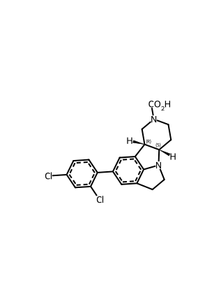 O=C(O)N1CC[C@H]2[C@@H](C1)c1cc(-c3ccc(Cl)cc3Cl)cc3c1N2CC3